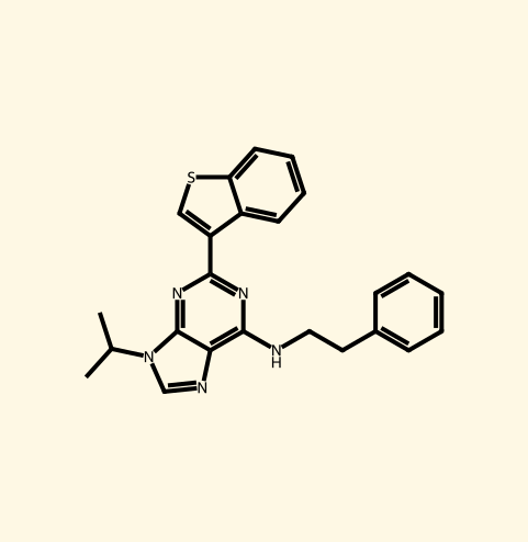 CC(C)n1cnc2c(NCCc3ccccc3)nc(-c3csc4ccccc34)nc21